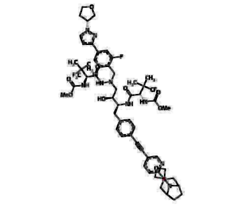 COC(=O)N[C@H](C(=O)N[C@@H](Cc1ccc(C#Cc2ccc(N3CC4CCC(C3)N4C3COC3)nc2)cc1)[C@@H](O)CN(Cc1c(F)cc(-c2ccn([C@@H]3CCOC3)n2)cc1F)NC(=O)[C@@H](NC(=O)OC)C(C)(C)C(F)(F)F)C(C)(C)C(F)(F)F